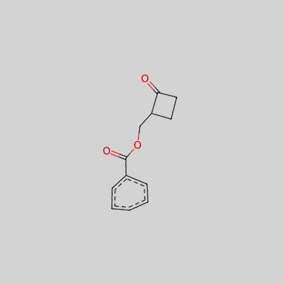 O=C(OCC1CCC1=O)c1ccccc1